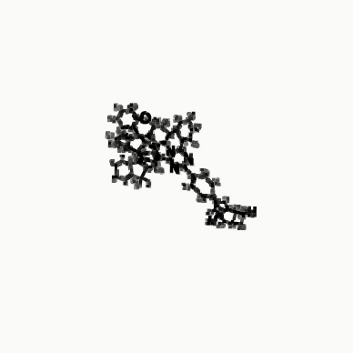 CC1(C)c2ccccc2-c2ccc(-c3nc(-c4ccc(C56CC7C8C(C[C@@H]7C5)C[C@H]8C6)cc4)nc(-c4ccccc4-c4ccc5c(c4)Oc4ccccc4C54c5ccccc5-c5ccccc54)n3)cc21